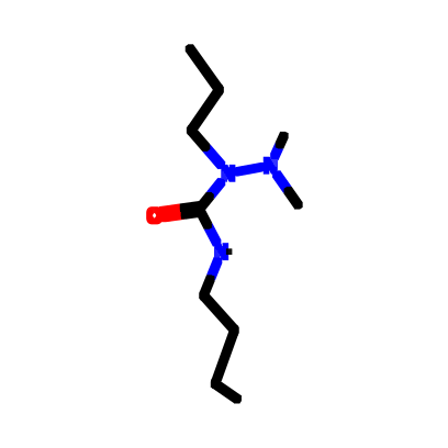 CCCC[N]C(=O)N(CCC)N(C)C